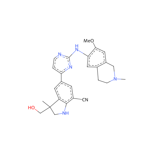 COc1cc2c(cc1Nc1nccc(-c3cc(C#N)c4c(c3)C(C)(CO)CN4)n1)CCN(C)C2